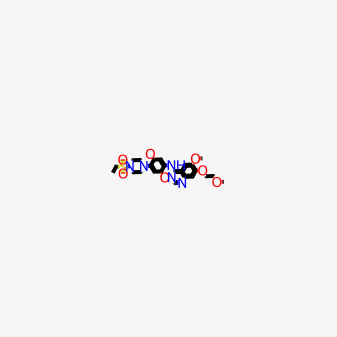 CCS(=O)(=O)N1CCN(C2=CC(=O)C(Nc3ncnc4cc(OCCOC)c(OC)cc34)=CC2=O)CC1